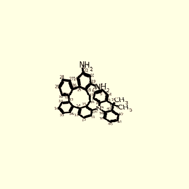 CC1(C)c2ccccc2N(c2cccc3c2CCc2c(N)cc(N)cc2-c2ccccc2-c2ccccc2-3)c2ccccc21